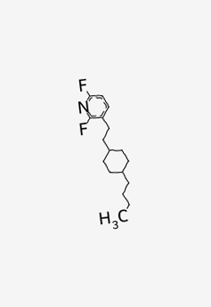 CCCCC1CCC(CCc2ccc(F)nc2F)CC1